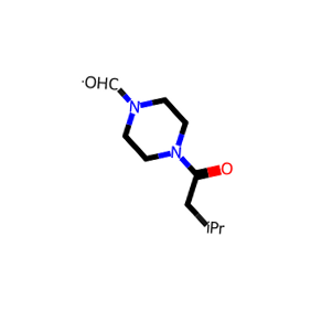 CC(C)CC(=O)N1CCN([C]=O)CC1